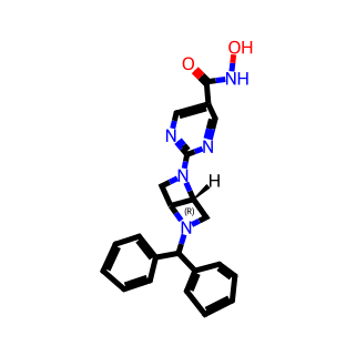 O=C(NO)c1cnc(N2CC3[C@H]2CN3C(c2ccccc2)c2ccccc2)nc1